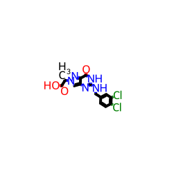 CC(C(=O)O)n1cc2nc(NCc3ccc(Cl)c(Cl)c3)[nH]c(=O)c2n1